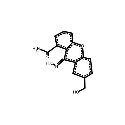 C/N=c1/c2cc(CO)ccc2oc2cccc(C(N)=O)c12